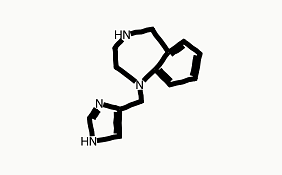 c1ccc2c(c1)CNCCN2Cc1c[nH]cn1